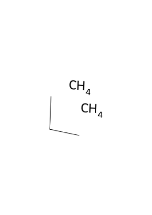 C.C.CCC